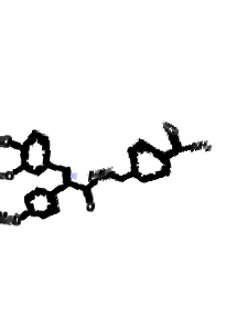 COc1ccc(/C(=C\c2ccc(OC)c(OC)c2)C(=O)NCc2ccc(C(N)=O)cc2)cc1